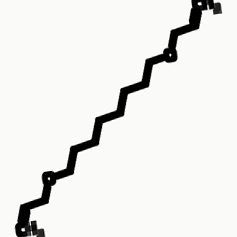 C=CCOCCCCCCCCOCC=C